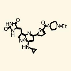 CCN1CCN(C(=O)C2=CCC(c3cc(NC4CC4)n4ncc(/C=C5\NC(=O)NC5=O)c4n3)S2)CC1